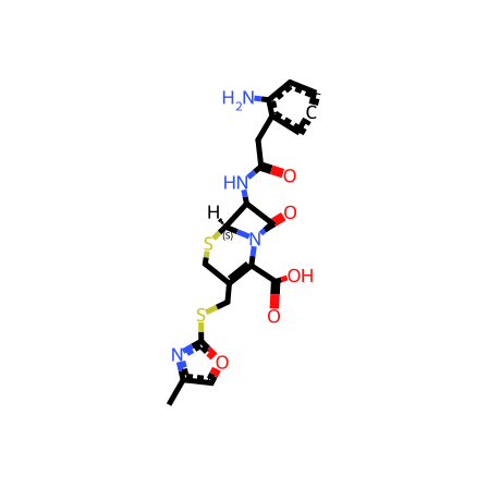 Cc1coc(SCC2=C(C(=O)O)N3C(=O)C(NC(=O)Cc4ccccc4N)[C@@H]3SC2)n1